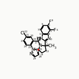 CC1(c2nc3c(F)c(F)ccc3[nH]2)CCCN1C(=O)c1cc(Cl)ccc1-n1nccn1